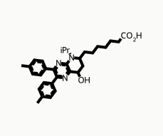 Cc1ccc(-c2nc3c(nc2-c2ccc(C)cc2)N(C(C)C)C(CCCCCCC(=O)O)CC3O)cc1